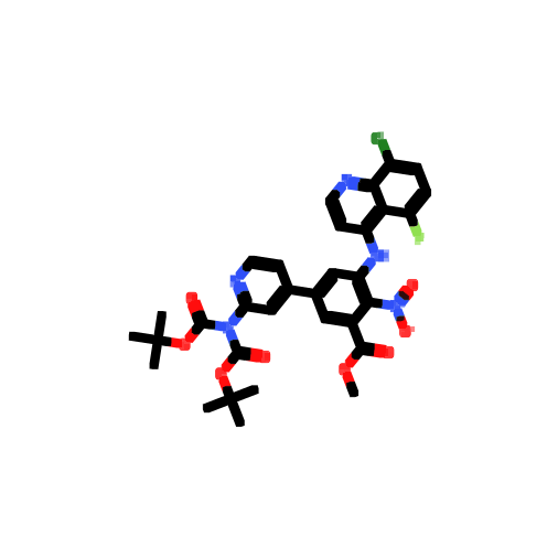 COC(=O)c1cc(-c2ccnc(N(C(=O)OC(C)(C)C)C(=O)OC(C)(C)C)c2)cc(Nc2ccnc3c(Cl)ccc(F)c23)c1[N+](=O)[O-]